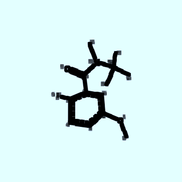 COc1ccc(F)c(C(=O)N(C)C(C)(C)C)c1